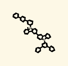 CC12C=CC=CC1c1cc(C3=CC4c5ccccc5N(c5cc(-c6ccccc6)cc(-c6ccccc6)c5)C4C=C3)ccc1N2c1cccc(-c2ccc(-c3ccccc3)cc2)c1